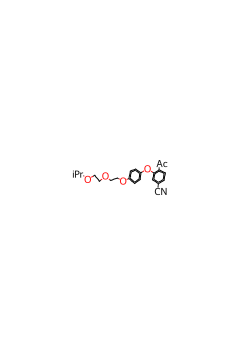 CC(=O)c1ccc(C#N)cc1Oc1ccc(OCCOCCOC(C)C)cc1